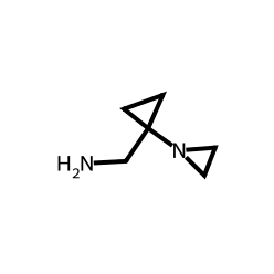 NCC1(N2CC2)CC1